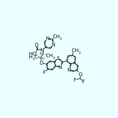 Cc1cc(-c2nc3cc(F)c(O[C@@H](C)[C@@H](C)N(C(=O)O)c4cnc(C)nc4)cc3s2)c2ncc(OC(F)F)cc2c1